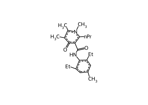 CCCc1c(C(=O)Nc2c(CC)cc(C)cc2CC)c(=O)c(C)c(C)n1C